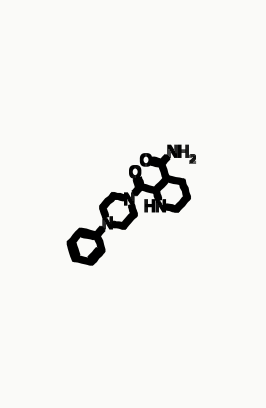 NC(=O)C1CCCNC1C(=O)N1CCN(c2ccccc2)CC1